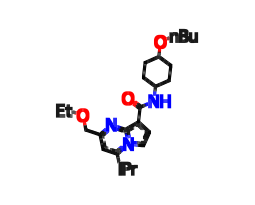 CCCCOC1CCC(NC(=O)c2ccn3c(C(C)C)cc(COCC)nc23)CC1